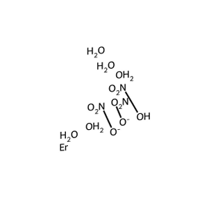 O.O.O.O.O.O=[N+]([O-])O.O=[N+]([O-])[O-].O=[N+]([O-])[O-].[Er]